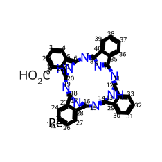 O=C(O)c1cccc2c3nc4nc(nc5[nH]c(nc6nc(nc([nH]3)c12)-c1ccccc1-6)c1ccccc51)-c1ccccc1-4.[Re]